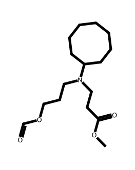 COC(=O)CCN(CCCOC=O)C1CCCCCCC1